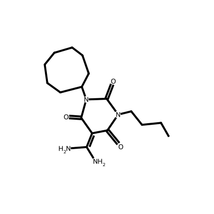 CCCCN1C(=O)C(=C(N)N)C(=O)N(C2CCCCCCC2)C1=O